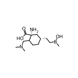 CB(O)CC[C@@H]1CCC(CN(C)C)[C@@](N)(C(=O)O)C1